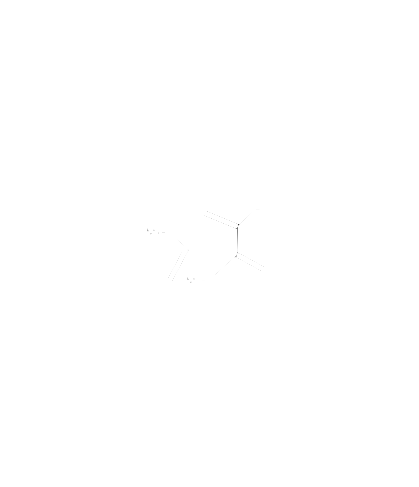 C=C(CC)C(=O)OC.C=COC